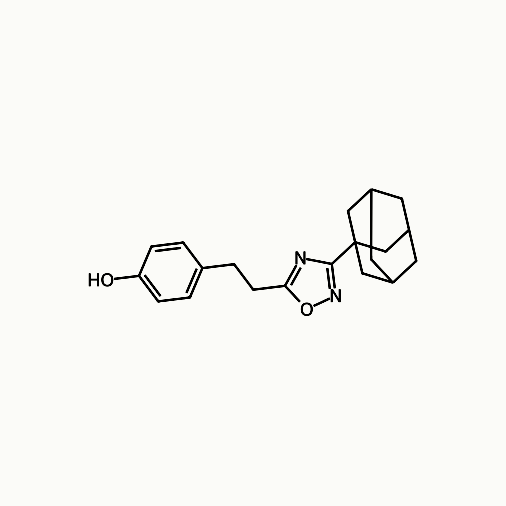 Oc1ccc(CCc2nc(C34CC5CC(CC(C5)C3)C4)no2)cc1